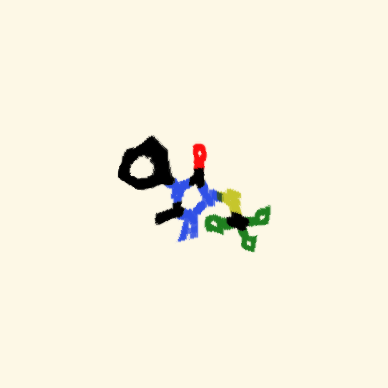 CC1NN(SC(Cl)(Cl)Cl)C(=O)N1c1ccccc1